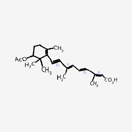 CC(=O)OC1CCC(C)=C(/C=C/C(C)=C/C=C/C(C)=C/C(=O)O)C1(C)C